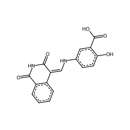 O=C1NC(=O)c2ccccc2C1=CNc1ccc(O)c(C(=O)O)c1